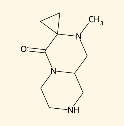 CN1CC2CNCCN2C(=O)C12CC2